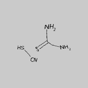 N#CS.NC(N)=S